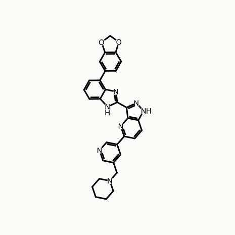 c1cc(-c2ccc3c(c2)OCO3)c2nc(-c3n[nH]c4ccc(-c5cncc(CN6CCCCC6)c5)nc34)[nH]c2c1